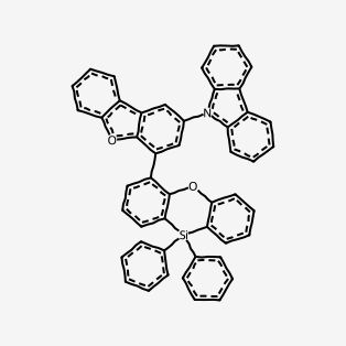 c1ccc([Si]2(c3ccccc3)c3ccccc3Oc3c(-c4cc(-n5c6ccccc6c6ccccc65)cc5c4oc4ccccc45)cccc32)cc1